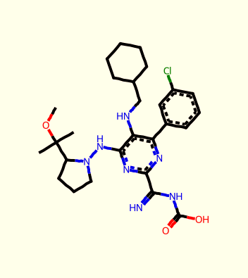 COC(C)(C)C1CCCN1Nc1nc(C(=N)NC(=O)O)nc(-c2cccc(Cl)c2)c1NCC1CCCCC1